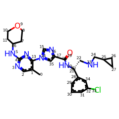 Cc1cnc(NC2CCOCC2)nc1-n1cnc(C(=O)N[C@H](CNCC2CC2)c2cccc(Cl)c2)c1